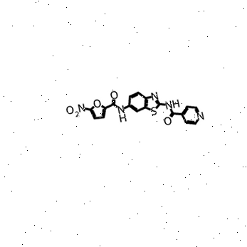 O=C(Nc1nc2ccc(NC(=O)c3ccc([N+](=O)[O-])o3)cc2s1)c1ccncc1